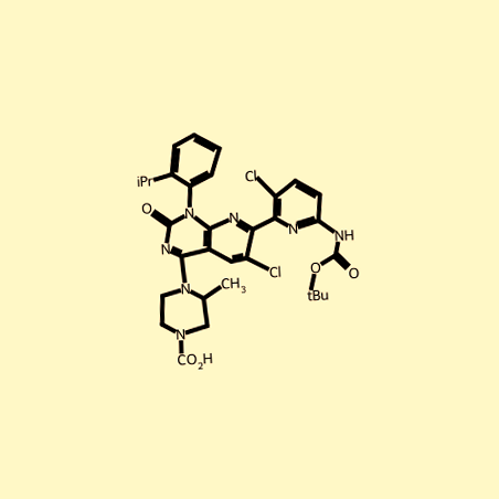 CC(C)c1ccccc1-n1c(=O)nc(N2CCN(C(=O)O)CC2C)c2cc(Cl)c(-c3nc(NC(=O)OC(C)(C)C)ccc3Cl)nc21